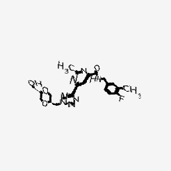 Cc1nc(C(=O)NCc2ccc(F)c(C)c2)cc(-c2nnn(C[C@@H]3CO[C@@H](CO)CO3)n2)n1